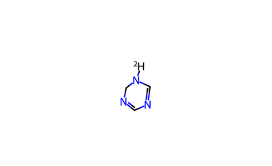 [2H]N1C=NC=NC1